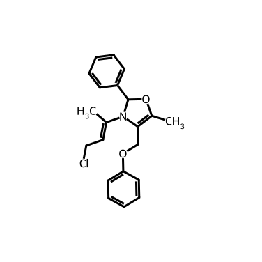 CC(=CCCl)N1C(COc2ccccc2)=C(C)OC1c1ccccc1